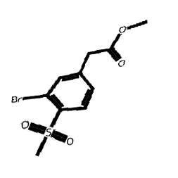 COC(=O)Cc1ccc(S(C)(=O)=O)c(Br)c1